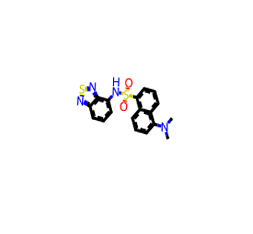 CN(C)c1cccc2c(S(=O)(=O)Nc3cccc4nsnc34)cccc12